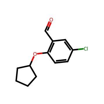 O=Cc1cc(Cl)ccc1OC1CCCC1